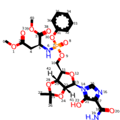 COC(=O)C[C@H](NP(=O)(OC[C@H]1O[C@@H](n2cnc(C(N)=O)c2O)[C@@H]2OC(C)(C)O[C@@H]21)Oc1ccccc1)C(=O)OC